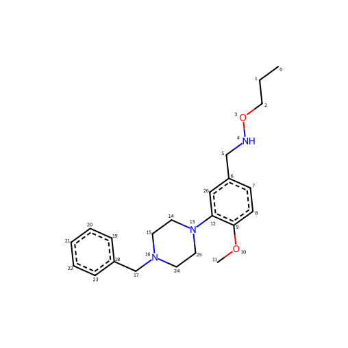 CCCONCc1ccc(OC)c(N2CCN(Cc3ccccc3)CC2)c1